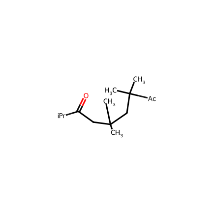 CC(=O)C(C)(C)CC(C)(C)CC(=O)C(C)C